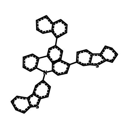 c1cc(-c2ccccc2N(c2ccc(-c3ccc4c(c3)sc3ccccc34)cc2)c2ccc3sc4ccccc4c3c2)cc(-c2cccc3ccccc23)c1